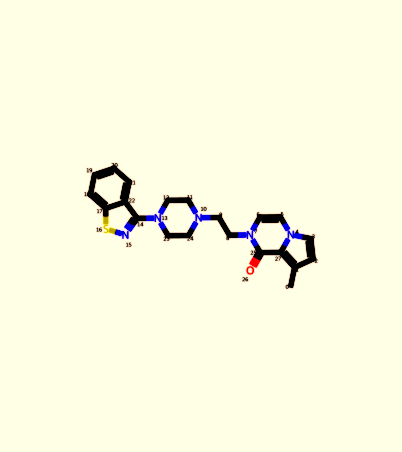 Cc1ccn2ccn(CCN3CCN(c4nsc5ccccc45)CC3)c(=O)c12